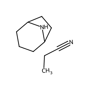 C1CC2CCC(C1)N2.CCC#N